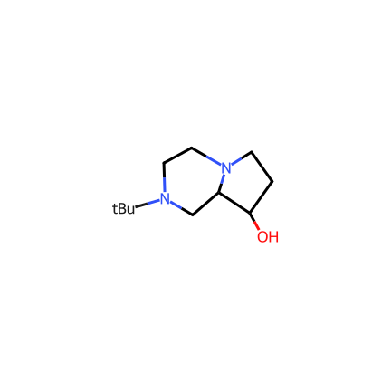 CC(C)(C)N1CCN2CCC(O)C2C1